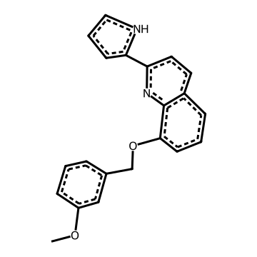 COc1cccc(COc2cccc3ccc(-c4ccc[nH]4)nc23)c1